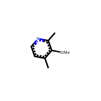 COc1c(C)ccnc1C